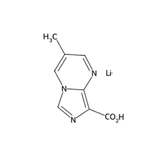 Cc1cnc2c(C(=O)O)ncn2c1.[Li]